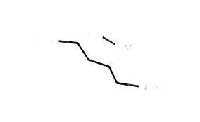 CCCCCCCCCC(=O)O.COC